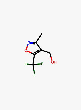 Cc1noc(C(F)(F)F)c1CO